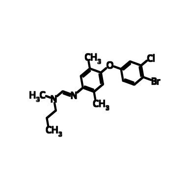 CCCN(C)C=Nc1cc(C)c(Oc2ccc(Br)c(Cl)c2)cc1C